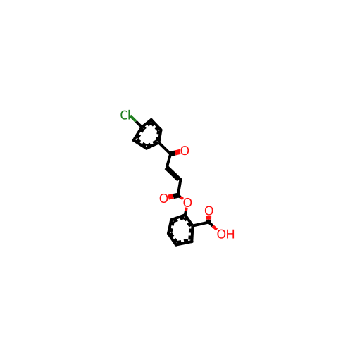 O=C(/C=C/C(=O)c1ccc(Cl)cc1)Oc1ccccc1C(=O)O